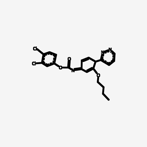 CCCCOC1=C/C(=N/C(=O)Oc2ccc(Cl)c(Cl)c2)C=CC1c1cccnn1